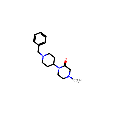 O=C(O)N1CCN(C2CCN(Cc3ccccc3)CC2)C(=O)C1